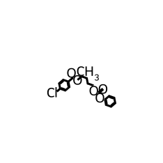 CC(CCCOC(=O)Oc1ccccc1)OC(=O)c1ccc(Cl)cc1